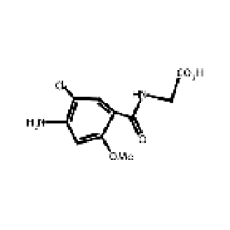 COc1cc(N)c(Cl)cc1C(=O)NCC(=O)O